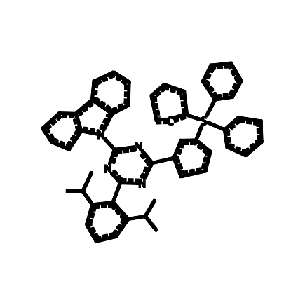 CC(C)c1cccc(C(C)C)c1-c1nc(-c2cccc(S(c3ccccc3)(c3ccccc3)c3ccccc3)c2)nc(-n2c3ccccc3c3ccccc32)n1